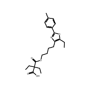 CCc1oc(-c2ccc(C)cc2)nc1CCCCOC(=O)C(CC)(CC)C(=O)O